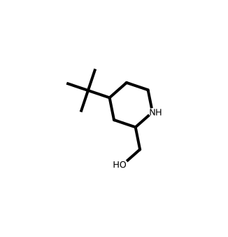 CC(C)(C)C1CCNC(CO)C1